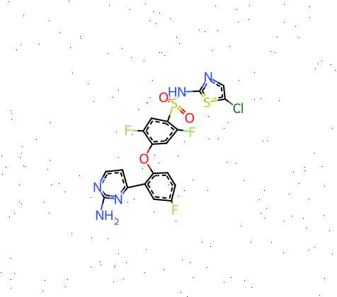 Nc1nccc(-c2cc(F)ccc2Oc2cc(F)c(S(=O)(=O)Nc3ncc(Cl)s3)cc2F)n1